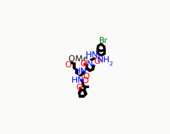 COC(=O)/C=C/CC[C@H](NC(=O)c1oc2ccccc2c1C)C(=O)Nc1cccn(CC(=O)NC2C(N)CC3CC(Br)CC2C3)c1=O